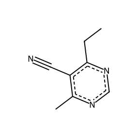 CCc1ncnc(C)c1C#N